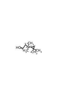 CC1(C)C[C@@H]1[N+](C)(C)CCO